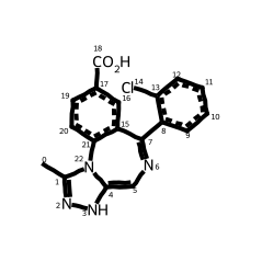 CC1=NNC2=CN=C(c3ccccc3Cl)c3cc(C(=O)O)ccc3N21